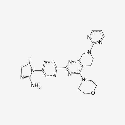 CC1CN=C(N)N1c1ccc(-c2nc3c(c(N4CCOCC4)n2)CCN(c2ncccn2)C3)cc1